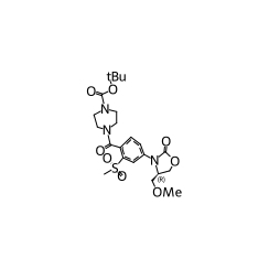 COC[C@@H]1COC(=O)N1c1ccc(C(=O)N2CCN(C(=O)OC(C)(C)C)CC2)c(S(C)(=O)=O)c1